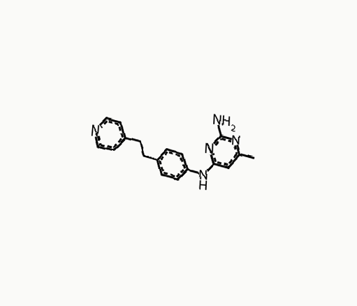 Cc1cc(Nc2ccc(CCc3ccncc3)cc2)nc(N)n1